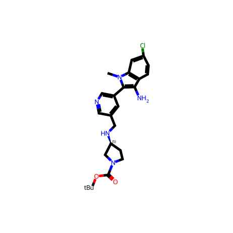 Cn1c(-c2cncc(CN[C@H]3CCN(C(=O)OC(C)(C)C)C3)c2)c(N)c2ccc(Cl)cc21